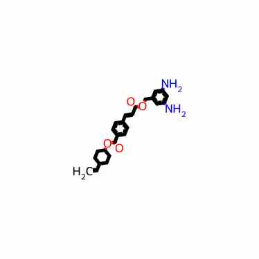 C=CC1CCC(OC(=O)c2ccc(/C=C/C(=O)OCc3cc(N)cc(N)c3)cc2)CC1